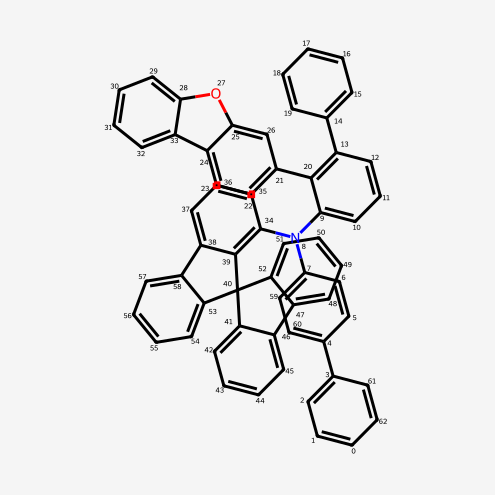 c1ccc(-c2ccc(N(c3cccc(-c4ccccc4)c3-c3ccc4c(c3)oc3ccccc34)c3cccc4c3C3(c5ccccc5-c5ccccc53)c3ccccc3-4)cc2)cc1